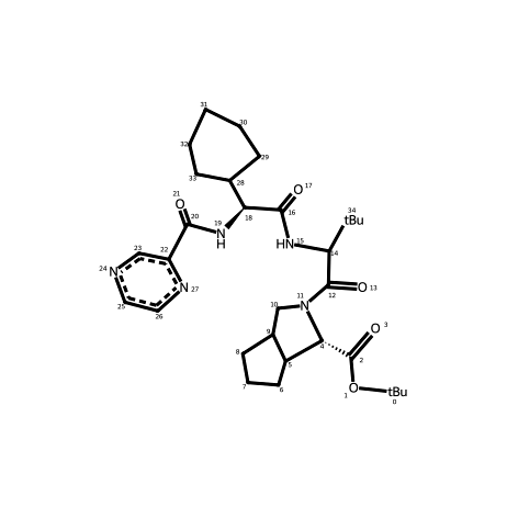 CC(C)(C)OC(=O)[C@@H]1C2CCCC2CN1C(=O)C(NC(=O)[C@@H](NC(=O)c1cnccn1)C1CCCCC1)C(C)(C)C